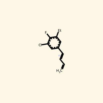 C=C/C=C/c1cc(Cl)c(F)c(CC)c1